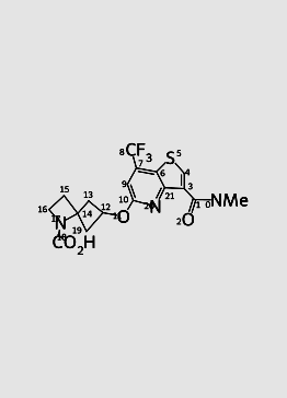 CNC(=O)c1csc2c(C(F)(F)F)cc(OC3CC4(CCN4C(=O)O)C3)nc12